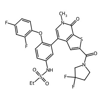 CCS(=O)(=O)Nc1ccc(Oc2ccc(F)cc2F)c(-c2cn(C)c(=O)c3sc(C(=O)N4CCC(F)(F)C4)cc23)c1